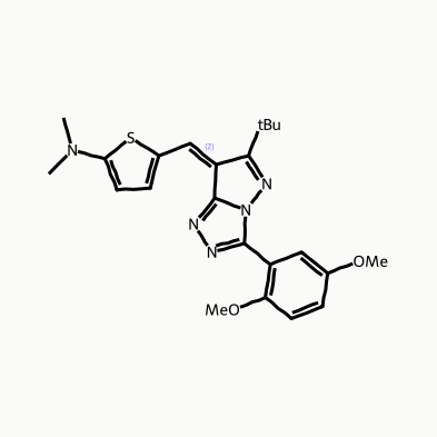 COc1ccc(OC)c(-c2nnc3/c(=C\c4ccc(N(C)C)s4)c(C(C)(C)C)nn23)c1